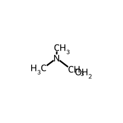 CN(C)C.O